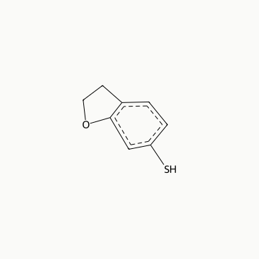 Sc1ccc2c(c1)OCC2